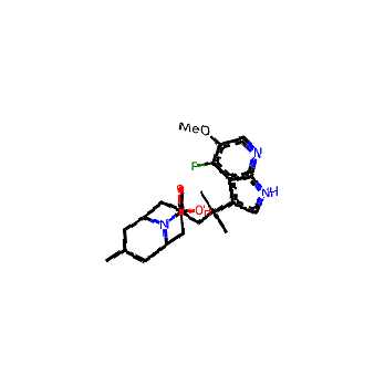 COc1cnc2[nH]cc(C(C)(C)CC(=O)N3C4CC(C)CC3CC(C)(O)C4)c2c1F